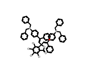 O=C1OC(C=C(c2ccccc2)c2ccc(N(Cc3ccccc3)Cc3ccccc3)cc2)(C=C(c2ccccc2)c2ccc(N(Cc3ccccc3)Cc3ccccc3)cc2)c2c(Cl)c(Cl)c(Cl)c(Cl)c21